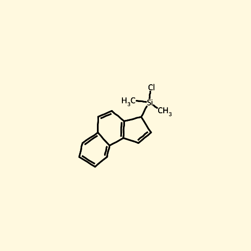 C[Si](C)(Cl)C1C=Cc2c1ccc1ccccc21